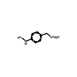 CCCCCCCCc1ccc(NCCC)cc1